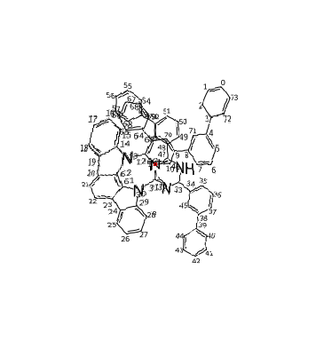 C1=CCC(c2cccc(-c3ccc(-n4c5ccccc5c5ccc6c7ccccc7n(C7=NC(c8cccc(-c9ccccc9)c8)NC(c8cccc(-c9ccccc9)c8)=N7)c6c54)c(-c4ccccc4)c3)c2)C=C1